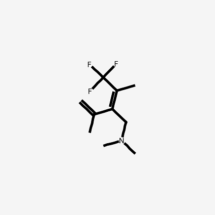 C=C(C)/C(CN(C)C)=C(/C)C(F)(F)F